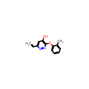 C=Cc1cc(O)c(Oc2ccccc2C)nn1